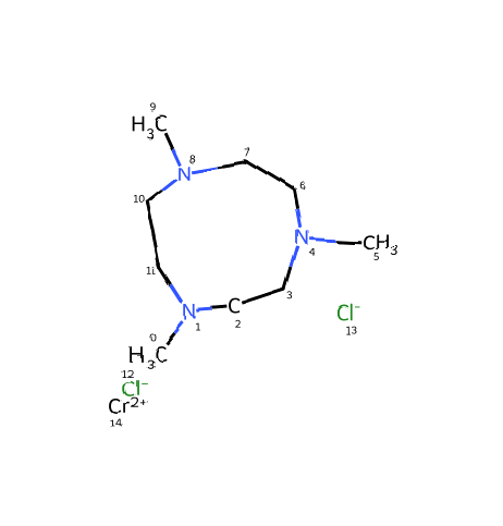 CN1CCN(C)CCN(C)CC1.[Cl-].[Cl-].[Cr+2]